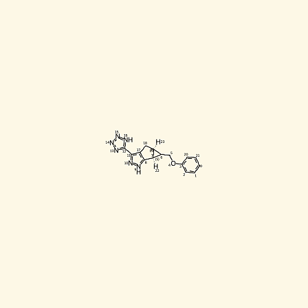 c1ccc(OCC2[C@H]3c4[nH]nc(-c5nnn[nH]5)c4C[C@@H]23)cc1